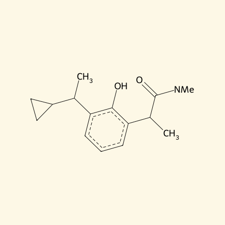 CNC(=O)C(C)c1cccc(C(C)C2CC2)c1O